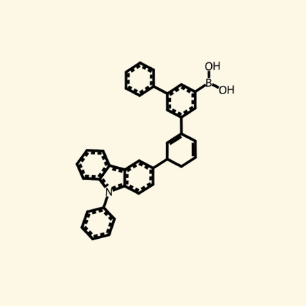 OB(O)c1cc(C2=CC(c3ccc4c(c3)c3ccccc3n4-c3ccccc3)CC=C2)cc(-c2ccccc2)c1